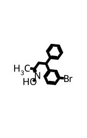 CC(CC(c1ccccc1)c1cccc(Br)c1)=NO